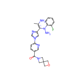 C/C(N)=C(\c1cn(-c2ccc(C(=O)N3CC4(COC4)C3)cn2)cn1)N(N)c1ccccc1F